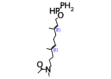 CC(=O)N(C)CCC/C(C)=C/CC/C(C)=C/COPP